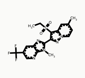 CCS(=O)(=O)c1c(-c2nc3cc(C(F)(F)F)cnc3n2C)nn2ccc(C)cc12